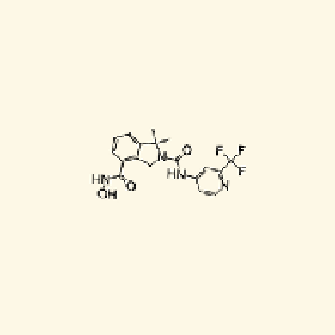 CC1(C)c2cccc(C(=O)NO)c2CN1C(=O)Nc1ccnc(C(F)(F)F)c1